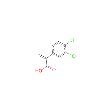 C=C(C(=O)O)c1ccc(Cl)c(Cl)c1